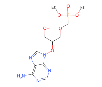 CCOP(=O)(COCC(CO)On1cnc2c(N)ncnc21)OCC